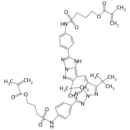 C=C(C)C(=O)OCCCS(=O)(=O)Nc1ccc(-c2nc3/c(=C\c4c(C(C)(C)C)nn5nc(-c6ccc(NS(=O)(=O)CCCOC(=O)C(=C)C)cc6)[nH]c45)c(C(C)(C)C)nn3n2)cc1